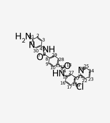 Nc1ccc(NC(=O)c2ccc(C(=O)Nc3ccc(Cl)c(-c4ccccn4)c3)cc2)cn1